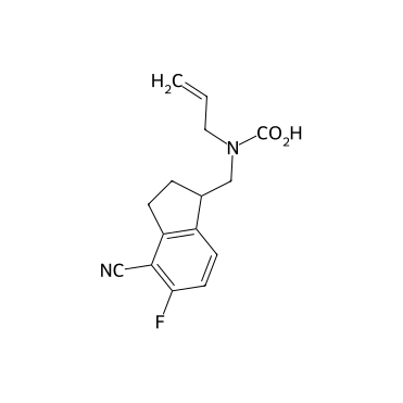 C=CCN(CC1CCc2c1ccc(F)c2C#N)C(=O)O